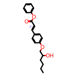 CCCCC(O)COc1ccc(/C=C/C(=O)Oc2ccccc2)cc1